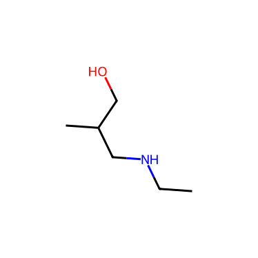 CCNCC(C)CO